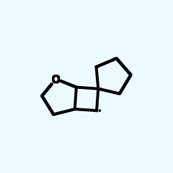 [CH]1C2CCOC2C12CCCC2